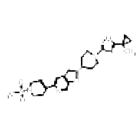 CC1(c2nc(N3CCC([C@H]4Cc5cc(C6=CCN(S(C)(=O)=O)CC6)ncc5O4)CC3)no2)CC1